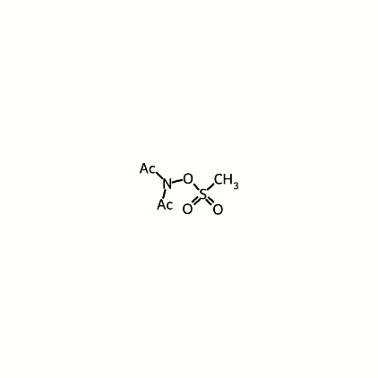 CC(=O)N(OS(C)(=O)=O)C(C)=O